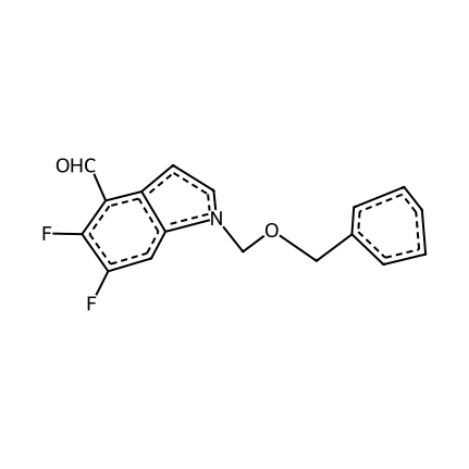 O=Cc1c(F)c(F)cc2c1ccn2COCc1ccccc1